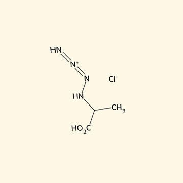 CC(NN=[N+]=N)C(=O)O.[Cl-]